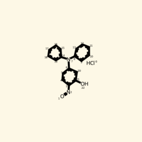 Cl.O=Nc1ccc(N(c2ccccc2)c2ccccc2)cc1O